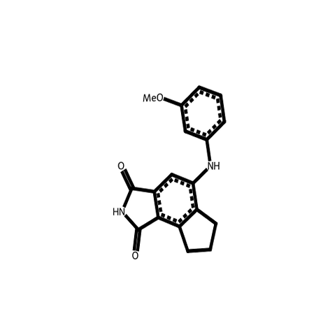 COc1cccc(Nc2cc3c(c4c2CCC4)C(=O)NC3=O)c1